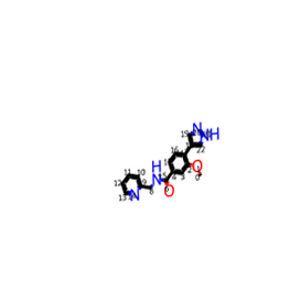 COc1cc(C(=O)NCc2ccccn2)ccc1-c1cn[nH]c1